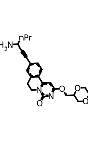 CCCC(N)C#Cc1ccc2c(c1)CCn1c-2cc(OCC2COCCO2)nc1=O